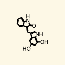 O=C1Nc2ccccc2C1=Cc1c[nH]c2c(O)cc(O)cc12